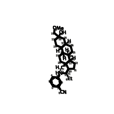 CC[C@@H](Nc1cccc(C#N)c1)C1CC[C@H]2[C@@H]3CC[C@@H]4C[C@@](O)(COC)CC[C@@H]4[C@H]3CC[C@]12C